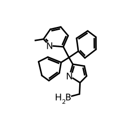 BCC1C=CC(C(C2=CCCC=C2)(c2ccccc2)c2cccc(C)n2)=N1